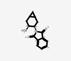 N[C@H]1CC2CC2C[C@H]1N1C(=O)c2ccccc2C1=O